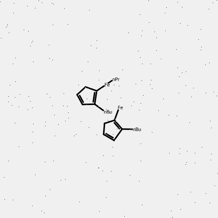 CCCCC1=[C]([Fe])CC=C1.CCCCC1=[C]([Fe][CH2]CC)CC=C1